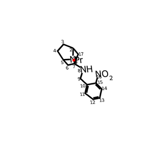 CC(C)N1C2CCC1CC(NCc1ccccc1[N+](=O)[O-])C2